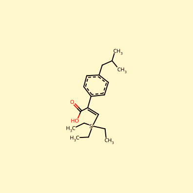 CC[Si](C=C(C(=O)O)c1ccc(CC(C)C)cc1)(CC)CC